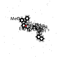 CCOc1nc(NC(c2ccccc2)(c2ccccc2)c2ccc(OC)cc2)nc2c1ncn2[C@@H]1O[C@](F)(COP(=O)(N[C@@H](C)C(=O)OCC(C)C)Oc2cccc3ccccc23)[C@@H](O)[C@@]1(C)F